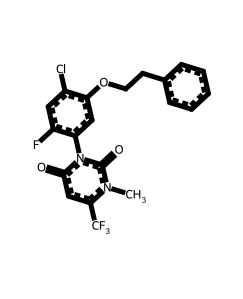 Cn1c(C(F)(F)F)cc(=O)n(-c2cc(OCCc3ccccc3)c(Cl)cc2F)c1=O